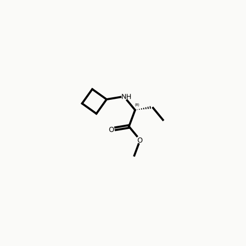 CC[C@@H](NC1CCC1)C(=O)OC